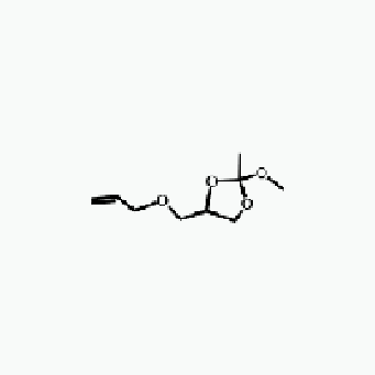 C=CCOCC1COC(C)(OC)O1